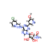 CNC(=O)[C@H]1O[C@@H](n2cnc3c(NCc4cc(Cl)ccn4)nc(-c4cncc(OC)c4)nc32)[C@H](O)[C@@H]1O